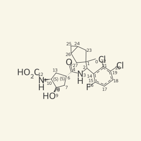 CC1(C(NC(=O)[C@@H]2C[C@@H](O)[C@@H](NC(=O)O)C2)c2c(F)ccc(Cl)c2Cl)CC2CC2C1